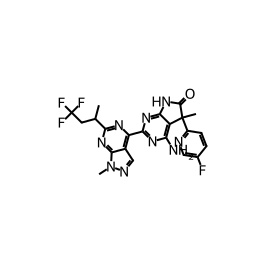 CC(CC(F)(F)F)c1nc(-c2nc(N)c3c(n2)NC(=O)C3(C)c2ccc(F)cn2)c2cnn(C)c2n1